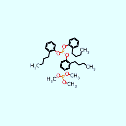 CCCCc1ccccc1OP(Oc1ccccc1CCCC)Oc1ccccc1CCCC.COP(OC)OC